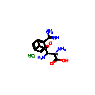 Cl.N=C(N)c1ccc2cc1C2C(=O)C(N)[C@H](N)C(=O)O